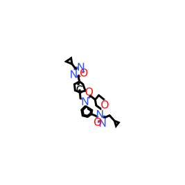 O=C(C1CCOCC1)N(CC12CCC(c3nc(C4CC4)no3)(CC1)CC2)c1cccc(-c2nc(CC3CC3)no2)c1